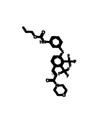 CCCOC(=O)Nc1cccc(Sc2ccc(/C=C/C(=O)N3CCOCC3)c(C(F)(F)F)c2C(F)(F)F)c1